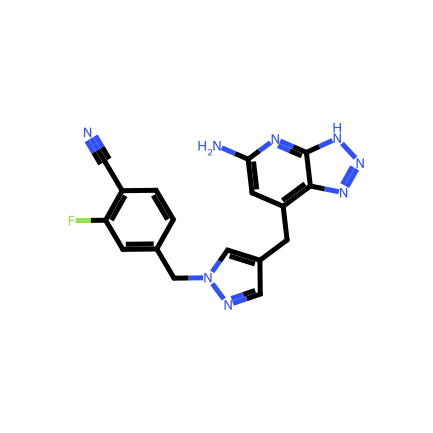 N#Cc1ccc(Cn2cc(Cc3cc(N)nc4[nH]nnc34)cn2)cc1F